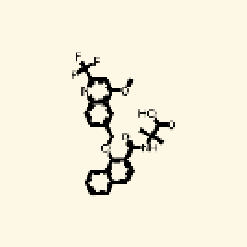 COc1cc(C(F)(F)F)nc2ccc(COc3c(C(=O)NC(C)(C)C(=O)O)ccc4ccccc34)cc12